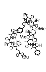 CC[C@H](C)[C@@H]([C@@H](CC(=O)N1CCC[C@H]1[C@H](OC)[C@@H](C)C(=O)N[C@H](C)[C@@H](O)c1ccccc1)OC)N(C)C(=O)[C@@H](NC(=O)[C@H](C(C)C)N(C)C(=O)OCc1ccc(NC(=O)[C@H](C)NC(=O)[C@@H](NC(=O)[C@@H](N)CCC(=O)OC(C)(C)C)C(C)C)cc1)C(C)C